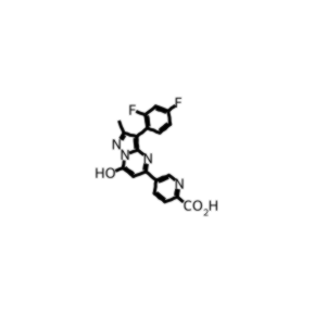 Cc1nn2c(O)cc(-c3ccc(C(=O)O)nc3)nc2c1-c1ccc(F)cc1F